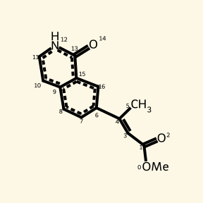 COC(=O)/C=C(\C)c1ccc2cc[nH]c(=O)c2c1